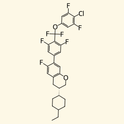 CCC1CCC([C@H]2COc3cc(-c4cc(F)c(C(F)(F)Oc5cc(F)c(Cl)c(F)c5)c(F)c4)c(F)cc3C2)CC1